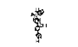 CC1[C@H]2CCC(C[C@@H]1N(c1ncc(-c3ccc(-c4cn[nH]c4)cc3O)nn1)C1CC1)N2